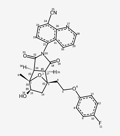 C[C@@]12O[C@@](CCOc3ccc(F)cc3)(C[C@H]1O)[C@@H]1C(=O)N(c3ccc(C#N)c4ncccc34)C(=O)[C@@H]12